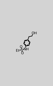 CCS(=O)(=O)Nc1ccc(CCO)cc1